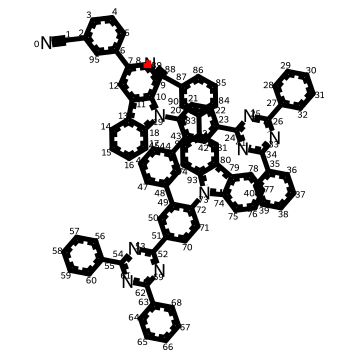 N#Cc1cccc(-c2ccc3c(c2)c2ccccc2n3-c2ccc(-c3nc(-c4ccccc4)nc(-c4ccccc4)n3)cc2-c2cccc(-c3cc(-c4nc(-c5ccccc5)nc(-c5ccccc5)n4)ccc3-n3c4ccccc4c4cc(-c5cccc(C#N)c5)ccc43)c2)c1